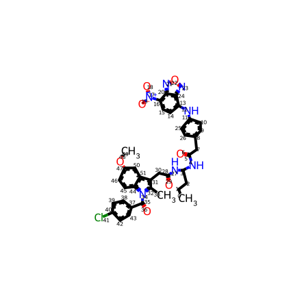 CCCC(NC(=O)Cc1ccc(Nc2ccc([N+](=O)[O-])c3nonc23)cc1)NC(=O)Cc1c(C)n(C(=O)c2ccc(Cl)cc2)c2ccc(OC)cc12